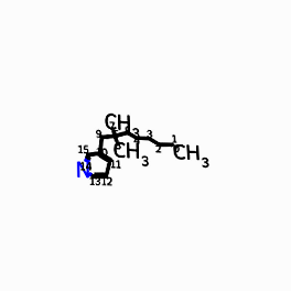 CCCCCCC(C)(C)Cc1cccnc1